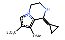 CCOC(=O)c1cn2c(c1OC)C(=C1CC1)NCC2